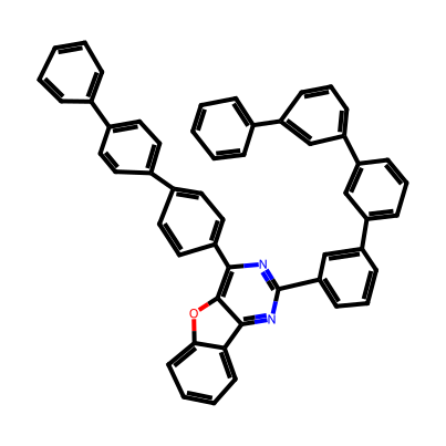 c1ccc(-c2ccc(-c3ccc(-c4nc(-c5cccc(-c6cccc(-c7cccc(-c8ccccc8)c7)c6)c5)nc5c4oc4ccccc45)cc3)cc2)cc1